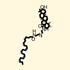 CC/C=C\C/C=C\C/C=C\C/C=C\C/C=C\C/C=C\CCC(=O)NCCN(C)CCNC(=O)[C@]12CC[C@@H](C)[C@H](C)C1C1=CCC3[C@@]4(C)CC[C@H](O)C(C)(C)C4CC[C@@]3(C)[C@]1(C)CC2